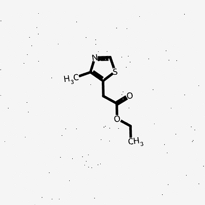 CCOC(=O)Cc1scnc1C